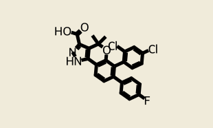 CC1(C)Oc2c(ccc(-c3ccc(F)cc3)c2-c2ccc(Cl)cc2Cl)-c2[nH]nc(C(=O)O)c21